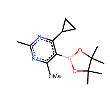 COc1nc(C)nc(C2CC2)c1B1OC(C)(C)C(C)(C)O1